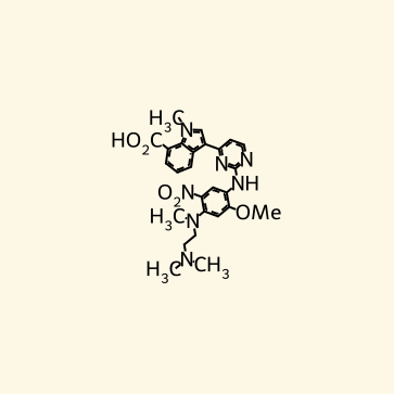 COc1cc(N(C)CCN(C)C)c([N+](=O)[O-])cc1Nc1nccc(-c2cn(C)c3c(C(=O)O)cccc23)n1